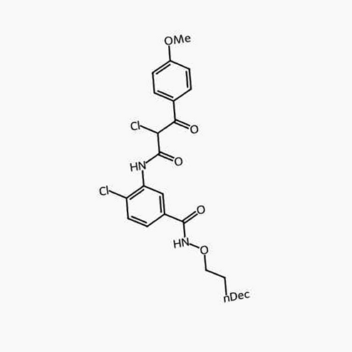 CCCCCCCCCCCCONC(=O)c1ccc(Cl)c(NC(=O)C(Cl)C(=O)c2ccc(OC)cc2)c1